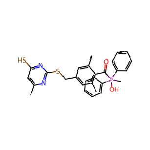 Cc1cc(S)nc(SCc2cc(C)c(C(=O)P(C)(O)(c3ccccc3)c3ccccc3)c(C)c2)n1